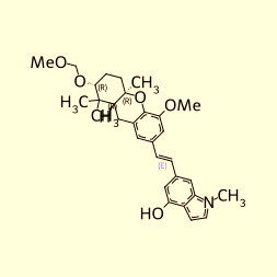 COCO[C@@H]1CC[C@@]2(C)Oc3c(cc(/C=C/c4cc(O)c5ccn(C)c5c4)cc3OC)C[C@@H]2C1(C)C